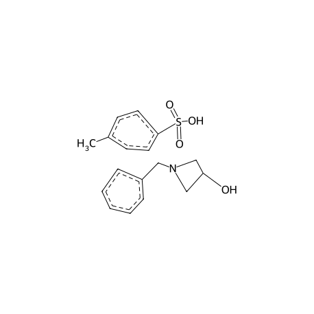 Cc1ccc(S(=O)(=O)O)cc1.OC1CN(Cc2ccccc2)C1